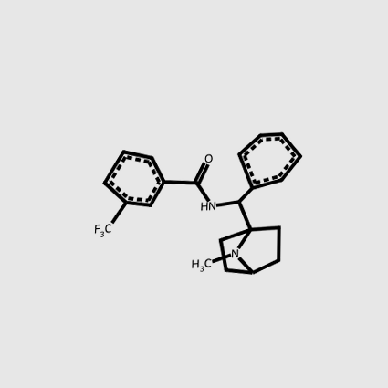 CN1C2CCC1(C(NC(=O)c1cccc(C(F)(F)F)c1)c1ccccc1)CC2